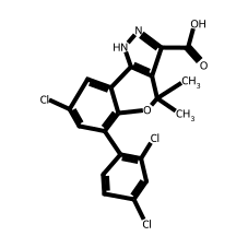 CC1(C)Oc2c(-c3ccc(Cl)cc3Cl)cc(Cl)cc2-c2[nH]nc(C(=O)O)c21